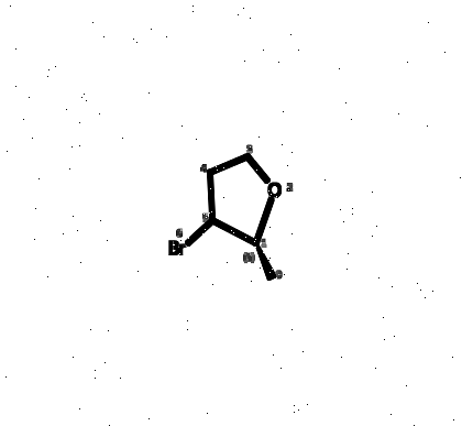 C[C@@H]1OCCC1Br